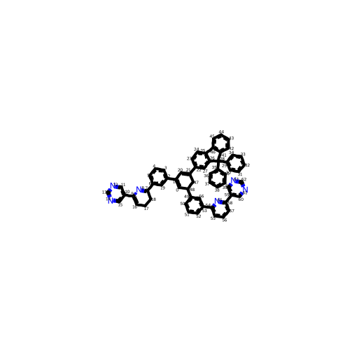 C1=C(c2cccc(C3=NC(c4cncnc4)=CCC3)c2)C=C(c2ccc3c(c2)C(c2ccccc2)(c2ccccc2)c2ccccc2-3)CC1c1cccc(-c2cccc(-c3cncnc3)n2)c1